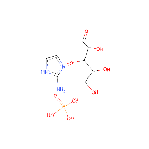 Nc1ncc[nH]1.O=CC(O)C(O)C(O)CO.O=P(O)(O)O